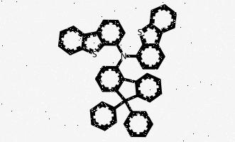 c1ccc(C2(c3ccccc3)c3ccccc3-c3c(N(c4cccc5c4sc4ccccc45)c4cccc5c4sc4ccccc45)cccc32)cc1